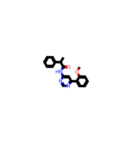 COc1ccccc1-c1cc(NC(=O)C(C)c2ccccc2)ncn1